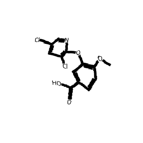 COc1ccc(C(=O)O)cc1Oc1ncc(Cl)cc1Cl